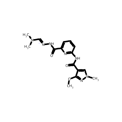 COc1nn(C)cc1C(=O)Nc1cccc(C(=O)N/N=C/N(C)C)n1